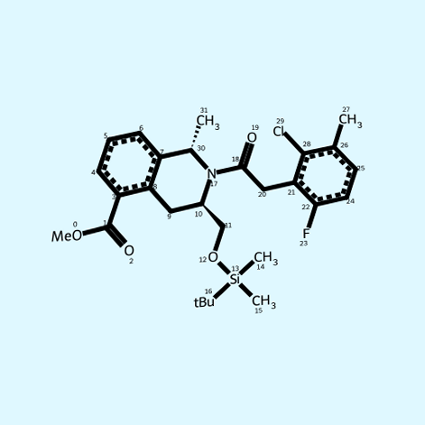 COC(=O)c1cccc2c1C[C@H](CO[Si](C)(C)C(C)(C)C)N(C(=O)Cc1c(F)ccc(C)c1Cl)[C@H]2C